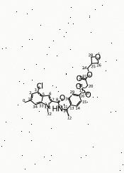 Cc1cc(Cl)c2cc(C(=O)N[C@H](C)c3ccc(S(=O)(=O)CC(=O)OCC4COC4)cc3)n(C)c2c1